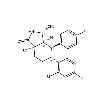 CC[C@@]12CC[C@@H](c3ccc(F)cc3Cl)[C@H](c3ccc(Cl)cc3)[C@@H]1[C@@H](C)NC2=O